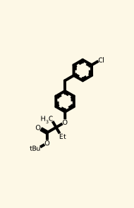 CCC(C)(Oc1ccc(Cc2ccc(Cl)cc2)cc1)C(=O)OC(C)(C)C